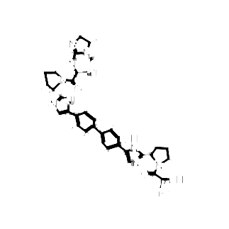 CC(C)[C@H](C)C(=O)N1CCC[C@H]1c1ncc(-c2ccc(-c3ccc(-c4cnc([C@@H]5CCCN5C(=O)[C@@H](NC5=NCCN5C)C(C)C)[nH]4)cc3)cc2)[nH]1